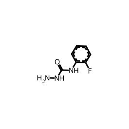 NNC(=O)Nc1ccccc1F